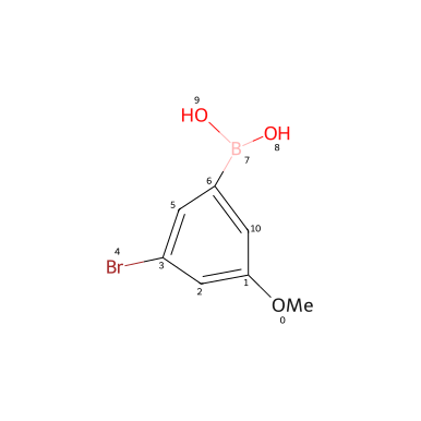 COc1cc(Br)cc(B(O)O)c1